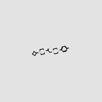 O=C(CN1CCN(c2ccc(Cl)cc2)CC1)N1CCN(C2CCC2)CC1